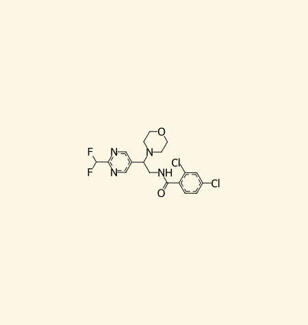 O=C(NCC(c1cnc(C(F)F)nc1)N1CCOCC1)c1ccc(Cl)cc1Cl